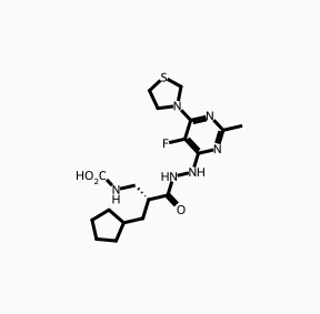 Cc1nc(NNC(=O)[C@@H](CNC(=O)O)CC2CCCC2)c(F)c(N2CCSC2)n1